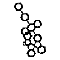 c1ccc(-c2ccc(-c3c4ccccc4c(-c4ccc5c(c4)C4(c6ccccc6-5)c5ccccc5-c5oc6ccccc6c54)c4ccccc34)cc2)cc1